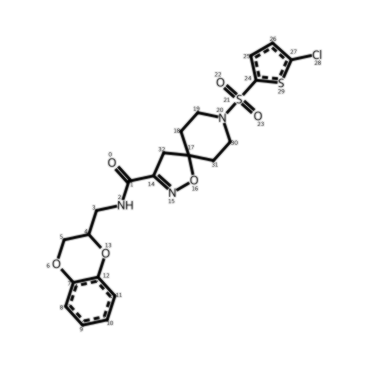 O=C(NCC1COc2ccccc2O1)C1=NOC2(CCN(S(=O)(=O)c3ccc(Cl)s3)CC2)C1